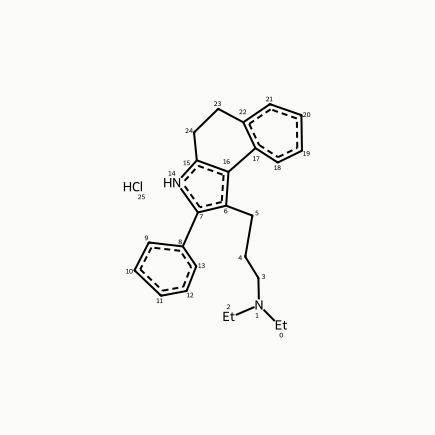 CCN(CC)CCCc1c(-c2ccccc2)[nH]c2c1-c1ccccc1CC2.Cl